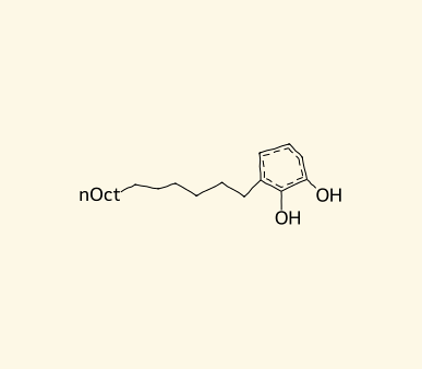 CCCCCCCCCCCCCCc1cccc(O)c1O